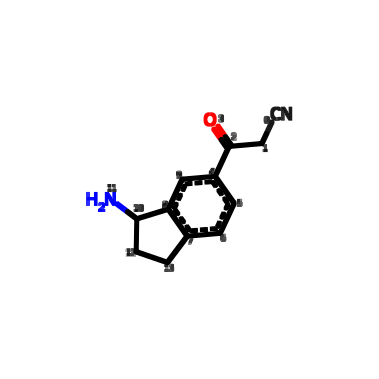 N#CCC(=O)c1ccc2c(c1)C(N)CC2